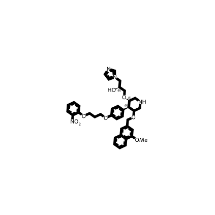 COc1cc(COC2CNC[C@@H](OC[C@H](O)Cn3ccnc3)[C@@H]2c2ccc(OCCCOc3ccccc3[N+](=O)[O-])cc2)cc2ccccc12